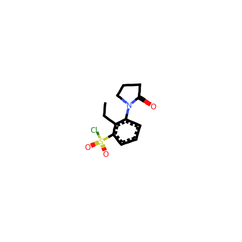 CCc1c(N2CCCC2=O)cccc1S(=O)(=O)Cl